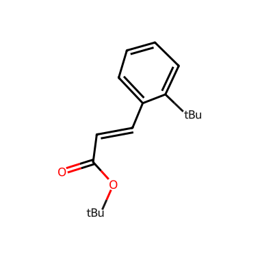 CC(C)(C)OC(=O)C=Cc1ccccc1C(C)(C)C